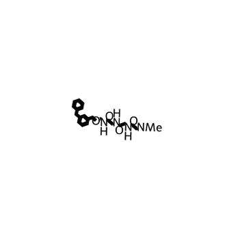 CNCC(=O)NCC(=O)NCC(=O)NCOCc1cccc(Cc2ccccc2)c1